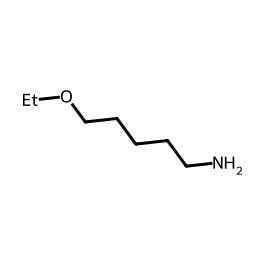 CCOCCCCCN